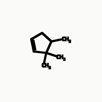 CC1CC=CC1(C)C